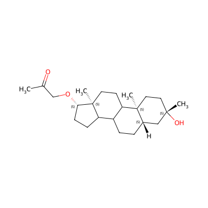 CC(=O)CO[C@H]1CCC2C3CC[C@H]4C[C@@](C)(O)CC[C@]4(C)C3CC[C@@]21C